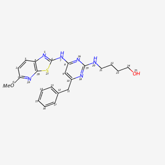 COc1ccc2nc(Nc3cc(Cc4ccccc4)nc(NCCCCO)n3)sc2n1